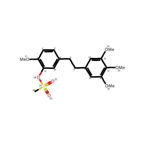 COc1ccc(CCc2cc(OC)c(OC)c(OC)c2)cc1OS(C)(=O)=O